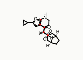 C[C@@H](C1CCNCC1)S(=O)(=O)N1[C@@H]2CC[C@H]1C[C@@H](NC(=O)c1cc(C3CC3)on1)C2